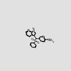 Nc1ccc(C(c2c[nH]c3ncccc23)S(=O)(=O)c2ccccc2)cn1